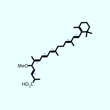 COC(/C=C/C(C)C(=O)O)/C(C)=C/C=C/C=C(\C)CC/C=C(C)/C=C/C1=C(C)CCCC1(C)C